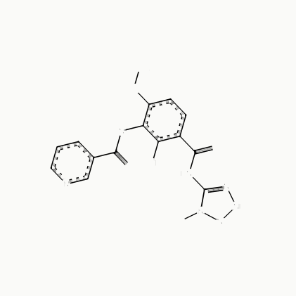 CN1NNN=C1NC(=O)c1ccc(OC(F)(F)F)c(NC(=O)c2cccnc2)c1Cl